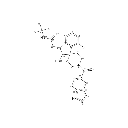 Cc1cccc2c1C1(CCN(C(=O)c3ccc4[nH]ncc4c3)CC1)C(O)N2CC(=O)NC(C)(C)C